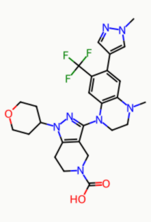 CN1CCN(c2nn(C3CCOCC3)c3c2CN(C(=O)O)CC3)c2cc(C(F)(F)F)c(-c3cnn(C)c3)cc21